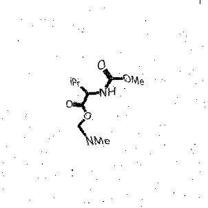 CNCOC(=O)C(NC(=O)OC)C(C)C